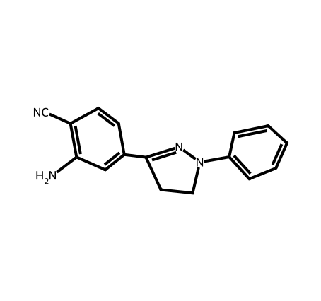 N#Cc1ccc(C2=NN(c3ccccc3)CC2)cc1N